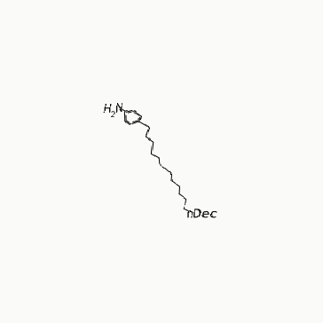 CCCCCCCCCCCCCCCCCCCCCCc1ccc(N)cc1